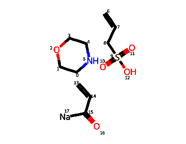 C1COCCN1.C=CCS(=O)(=O)O.C=C[C](=O)[Na]